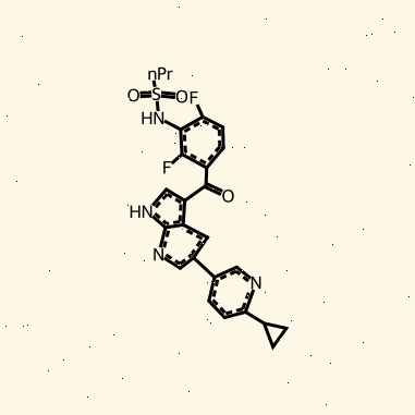 CCCS(=O)(=O)Nc1c(F)ccc(C(=O)c2c[nH]c3ncc(-c4ccc(C5CC5)nc4)cc23)c1F